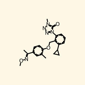 CON=C(C)c1ccc(OCc2c(C3CC3)cccc2-n2nnn(C)c2=O)c(C)c1